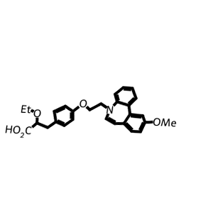 CCOC(Cc1ccc(OCCN2C=Cc3ccc(OC)cc3-c3ccccc32)cc1)C(=O)O